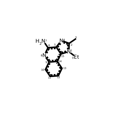 CCn1c(C)nc2c(N)nc3ccccc3c21